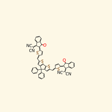 N#CC(C#N)=C1/C(=c2/cc/c(=C\c3cc4c(s3)-c3sc(/C=c5\cc/c(=C6\C(=O)c7ccccc7C6=C(C#N)C#N)s5)cc3C4(c3ccccc3)c3ccccc3)s2)C(=O)c2ccccc21